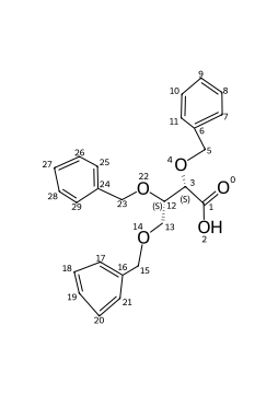 O=C(O)[C@@H](OCc1ccccc1)[C@H](COCc1ccccc1)OCc1ccccc1